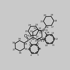 O=P(c1ccccc1Oc1ccccc1P(C1CCCCC1)C1CCCCC1)(C1CCCCC1)C1CCCCC1